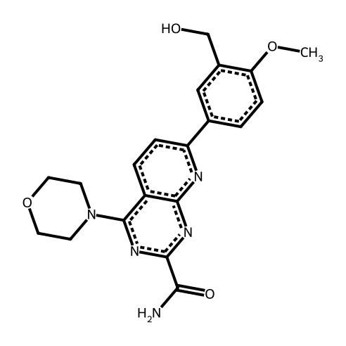 COc1ccc(-c2ccc3c(N4CCOCC4)nc(C(N)=O)nc3n2)cc1CO